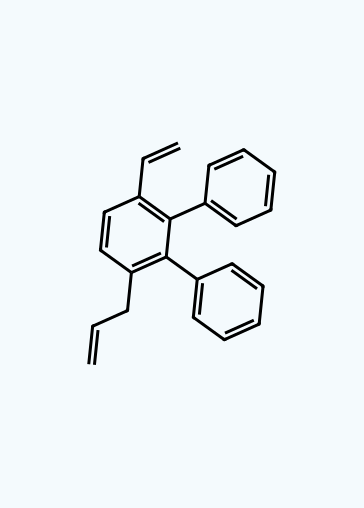 C=CCc1ccc(C=C)c(-c2ccccc2)c1-c1ccccc1